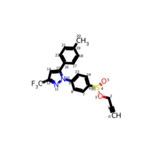 C#CCO[S@@](=O)c1ccc(-n2nc(C(F)(F)F)cc2-c2ccc(C)cc2)cc1